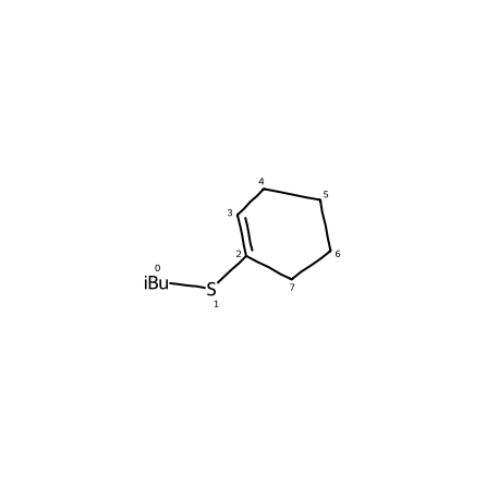 CCC(C)SC1=CCCCC1